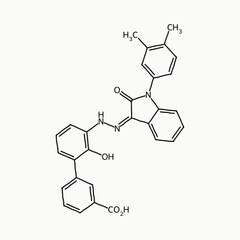 Cc1ccc(N2C(=O)/C(=N\Nc3cccc(-c4cccc(C(=O)O)c4)c3O)c3ccccc32)cc1C